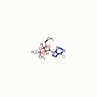 C=C[C@H]1O[C@@H](n2ccc3c(Cl)ncnc32)[C@@H]2OC(C)(C)O[C@@H]21